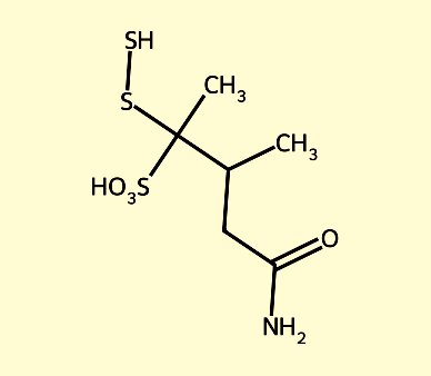 CC(CC(N)=O)C(C)(SS)S(=O)(=O)O